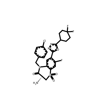 N[C@H]1CS(=O)(=O)c2cc(F)c(-c3nnc(C4CCC(F)(F)CC4)o3)cc2N(Cc2ccc(Cl)cc2)C1=O